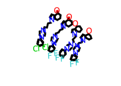 O=C1CCCc2c1ccn2CCCCN1CCN(c2ccc(Cl)c(Cl)c2)CC1.O=C1CCCc2c1ccn2CCCCN1CCN(c2ccc(F)c(F)c2)CC1.O=C1CCCc2c1ccn2CCCN1CCN(c2ccc(F)c(F)c2)CC1.O=C1CCCc2c1ccn2CCN1CCN(c2ccc(F)c(F)c2)CC1